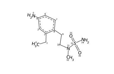 CCc1cc(N)ccc1CCN(C)S(N)(=O)=O